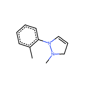 Cc1ccccc1N1C=CCN1C